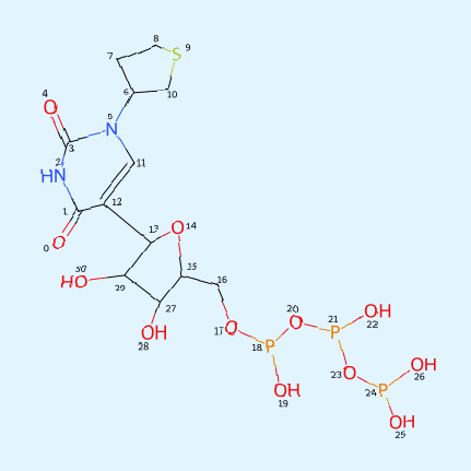 O=c1[nH]c(=O)n(C2CCSC2)cc1C1OC(COP(O)OP(O)OP(O)O)C(O)C1O